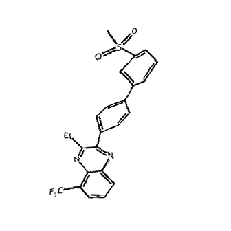 CCc1nc2c(C(F)(F)F)cccc2nc1-c1ccc(-c2cccc(S(C)(=O)=O)c2)cc1